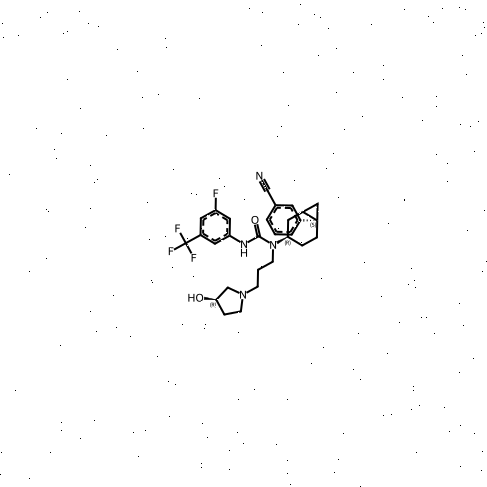 N#Cc1cccc([C@]23CC[C@@H](N(CCCN4CC[C@@H](O)C4)C(=O)Nc4cc(F)cc(C(F)(F)F)c4)CC2C3)c1